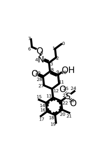 CCCC(=NOCC)C1=C(O)CC(c2c(C)c(C)c(C)c(C)c2S(C)(=O)=O)CC1=O